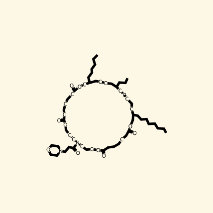 CCCCCCCCC1CCCCCC(CCC)CCCCC(CCCCCC)COC(=O)CCCCCC(=O)OCCCN(C(=O)CCN2CCOCC2)CCCOC(=O)CCCCCC(=O)OC1